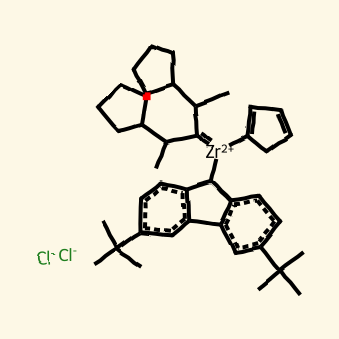 CC([C](C(C)C1CCCC1)=[Zr+2]([C]1=CC=CC1)[CH]1c2ccc(C(C)(C)C)cc2-c2cc(C(C)(C)C)ccc21)C1CCCC1.[Cl-].[Cl-]